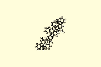 CC(C)(c1cccc(P(=O)(c2ccccc2)c2ccccc2)c1)c1ccc2c3ccc(C(C)(C)c4cccc(P(=O)(c5ccccc5)c5ccccc5)c4)cc3n(-c3ccccc3)c2c1